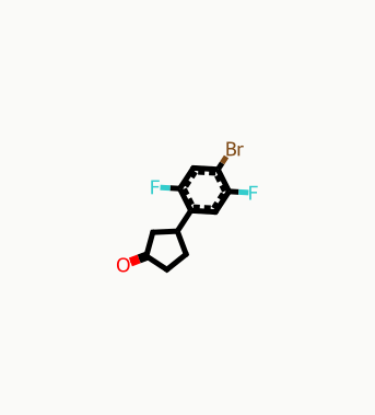 O=C1CCC(c2cc(F)c(Br)cc2F)C1